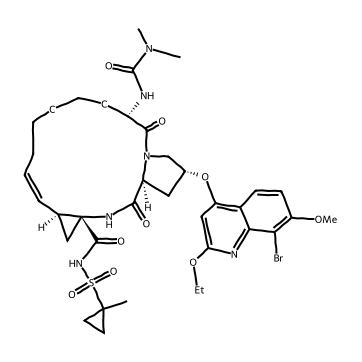 CCOc1cc(O[C@@H]2C[C@H]3C(=O)N[C@]4(C(=O)NS(=O)(=O)C5(C)CC5)C[C@H]4/C=C\CCCCC[C@H](NC(=O)N(C)C)C(=O)N3C2)c2ccc(OC)c(Br)c2n1